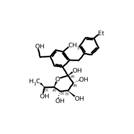 CCc1ccc(Cc2c(C)cc(CO)cc2[C@@]2(O)O[C@H]([C@H](C)O)[C@@H](O)[C@H](O)[C@H]2O)cc1